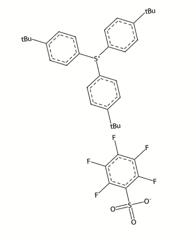 CC(C)(C)c1ccc([S+](c2ccc(C(C)(C)C)cc2)c2ccc(C(C)(C)C)cc2)cc1.O=S(=O)([O-])c1c(F)c(F)c(F)c(F)c1F